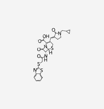 O=C(CSc1nc2ccccc2s1)N[C@@H]1C(=O)N2C(C(=O)O)=C(/C=C3\CCN(CC4CC4)C3=O)CS[C@H]12